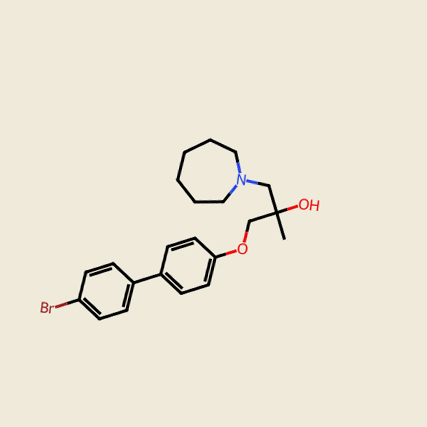 CC(O)(COc1ccc(-c2ccc(Br)cc2)cc1)CN1CCCCCC1